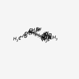 CCCCC(=O)OCC[N+](C)(C)CCCCCCCCCC[N+](C)(C)C(=O)c1ncccc1OC(=O)N(C)C.[Br-].[Br-]